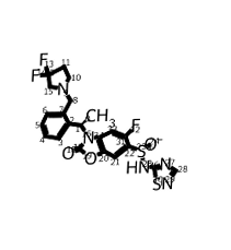 C[C@H](c1ccccc1CN1CCC(F)(F)C1)n1c(=O)oc2cc([S+]([O-])Nc3ncns3)c(F)cc21